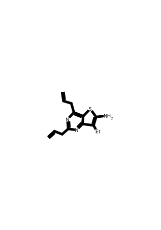 C=CCc1nc(CC=C)c2sc(N)c(CC)c2n1